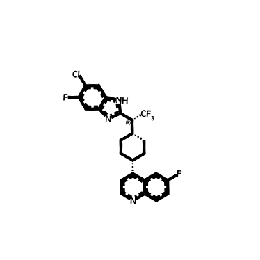 Fc1ccc2nccc([C@H]3CC[C@@H]([C@H](c4nc5cc(F)c(Cl)cc5[nH]4)C(F)(F)F)CC3)c2c1